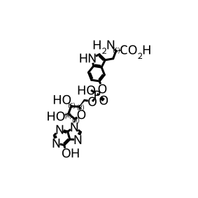 N[C@@H](Cc1c[nH]c2ccc(OP(=O)(O)OC[C@H]3O[C@@H](n4cnc5c(O)ncnc54)[C@H](O)[C@@H]3O)cc12)C(=O)O